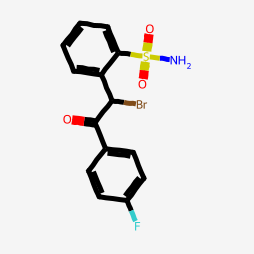 NS(=O)(=O)c1ccccc1C(Br)C(=O)c1ccc(F)cc1